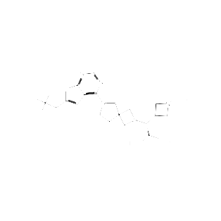 CC(C)[C@H](C1CN(C)C1)N1CC2(CCN(c3ncnc4sc(CC(F)(F)F)cc34)C2)C1